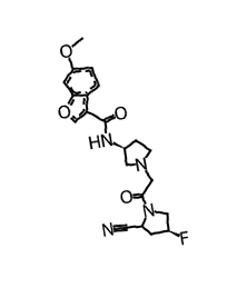 COc1ccc2c(C(=O)N[C@H]3CCN(CC(=O)N4C[C@@H](F)CC4C#N)C3)coc2c1